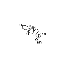 CCCOC(=O)O[C@]1(C(=O)CO)CC[C@H]2[C@@H]3CCC4=CC(=O)C=C[C@]4(C)[C@H]3C(=O)C[C@@]21C